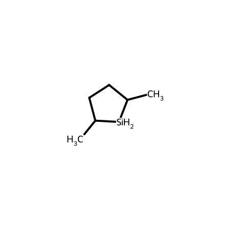 CC1CCC(C)[SiH2]1